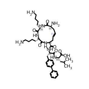 CC(C)C[C@H](NC(=O)[C@H](Cc1ccc(-c2ccccc2)cc1)NC(=O)[C@@H]1C/C=C/C[C@H](N)C(=O)N[C@@H](CCCCN)C(=O)N[C@@H](CCCCN)C(=O)N1)C(=O)O